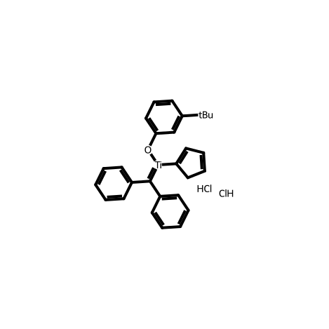 CC(C)(C)c1cccc([O][Ti]([C]2=CC=CC2)=[C](c2ccccc2)c2ccccc2)c1.Cl.Cl